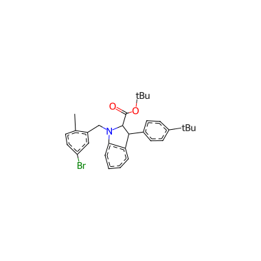 Cc1ccc(Br)cc1CN1c2ccccc2C(c2ccc(C(C)(C)C)cc2)C1C(=O)OC(C)(C)C